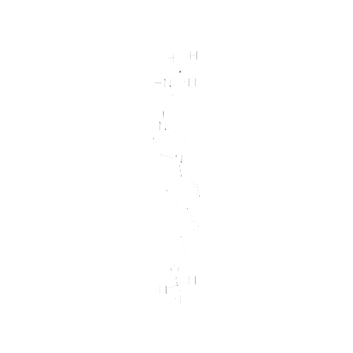 [2H]C([2H])([2H])NCCN1CCN(c2ccc(OCCOC([2H])([2H])[2H])cc2)CC1